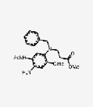 COC(=O)CCN(Cc1ccccc1)c1cc(NC(C)=O)c(N)cc1OC